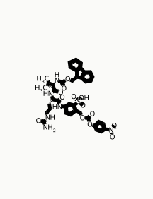 CC(C)[C@H](NC(=O)OCC1c2ccccc2-c2ccccc21)C(=O)N[C@@H](CCCNC(N)=O)C(=O)Nc1ccc(COC(=O)Oc2ccc([N+](=O)[O-])cc2)c(S(=O)(=O)O)c1